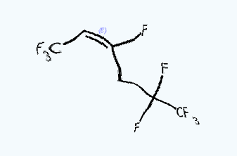 F/C(=C/C(F)(F)F)CC(F)(F)C(F)(F)F